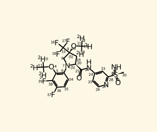 [2H]C([2H])([2H])Oc1c(N2C[C@](OC([2H])([2H])[2H])(C(F)(F)F)C[C@H]2C(=O)Nc2ccnc([S@](C)(=N)=O)c2)ccc(F)c1F